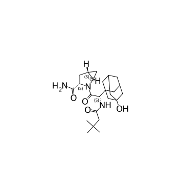 CC(C)(C)CC(=O)N[C@H](C(=O)N1[C@H](C(N)=O)C[C@@H]2C[C@@H]21)C12CC3CC(CC(O)(C3)C1)C2